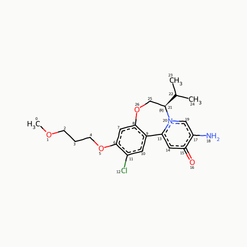 COCCCOc1cc2c(cc1Cl)-c1cc(=O)c(N)cn1[C@H](C(C)C)CO2